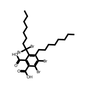 CCCCCCCCc1c(Br)c(Br)c(C(=O)O)c(C(=O)O)c1C(Br)(Br)CCCCCCC